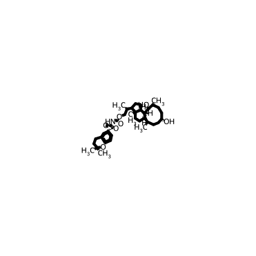 CC1CC[C@@H](O)CC[C@@H](C)[C@@H](O)[C@@H]2[C@@H]1CCC1(C)C([C@H](C)COC(=O)NS(=O)(=O)c3ccc4c(c3)CCC(C)(C)O4)CC[C@@H]21